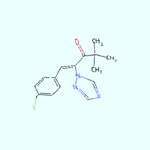 CC(C)(C)C(=O)C(=Cc1ccc(F)cc1)n1cncn1